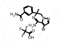 CC1(c2cccc(C(N)=O)c2)Cn2ncc(Br)c2C(N)=N1.O=C(O)C(F)(F)F